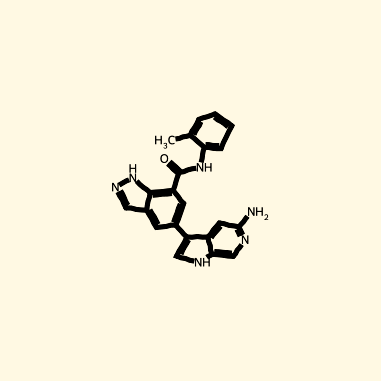 Cc1ccccc1NC(=O)c1cc(-c2c[nH]c3cnc(N)cc23)cc2cn[nH]c12